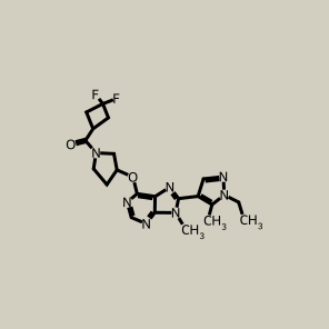 CCn1ncc(-c2nc3c(OC4CCN(C(=O)C5CC(F)(F)C5)C4)ncnc3n2C)c1C